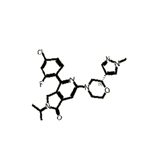 CC(C)N1Cc2c(cc(N3CCO[C@@H](c4cnn(C)c4)C3)nc2-c2ccc(Cl)cc2F)C1=O